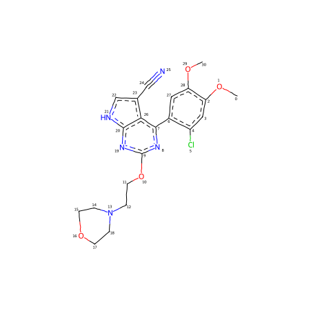 COc1cc(Cl)c(-c2nc(OCCN3CCOCC3)nc3[nH]cc(C#N)c23)cc1OC